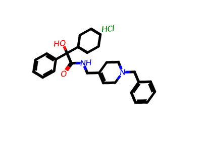 Cl.O=C(NCC1=CCN(Cc2ccccc2)CC1)C(O)(c1ccccc1)C1CCCCC1